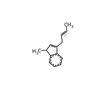 C/C=C/CC1=CC(C)c2ccccc21